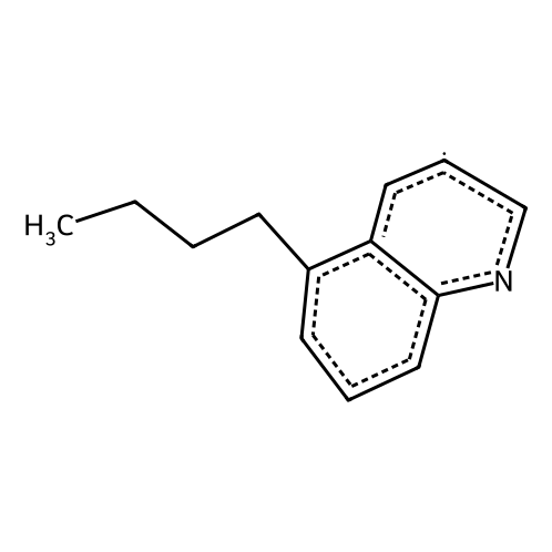 CCCCc1cccc2nc[c]cc12